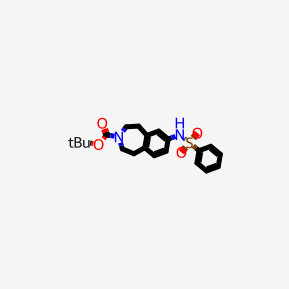 CC(C)(C)OC(=O)N1CCc2ccc(NS(=O)(=O)c3ccccc3)cc2CC1